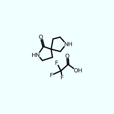 O=C(O)C(F)(F)F.O=C1NCCC12CCNC2